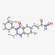 CCc1nc2cc(F)c(/C=C/C(=O)NO)cc2c(=O)n1-c1cccc(C)c1C